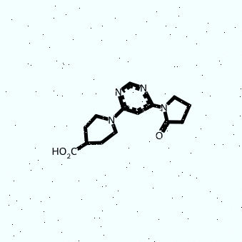 O=C(O)C1CCN(c2cc(N3CCCC3=O)ncn2)CC1